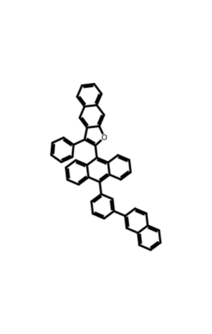 c1ccc(-c2c(-c3c4ccccc4c(-c4cccc(-c5ccc6ccccc6c5)c4)c4ccccc34)oc3cc4ccccc4cc23)cc1